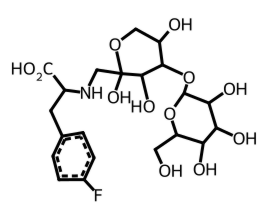 O=C(O)C(Cc1ccc(F)cc1)NCC1(O)OCC(O)C(OC2OC(CO)C(O)C(O)C2O)C1O